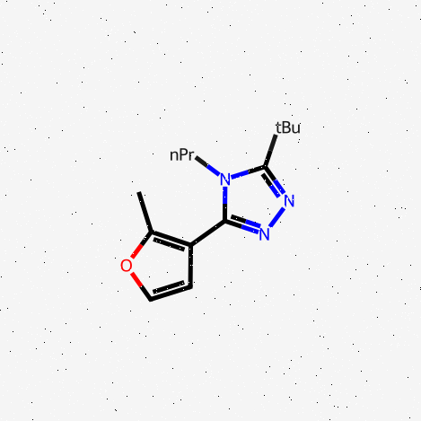 CCCn1c(-c2ccoc2C)nnc1C(C)(C)C